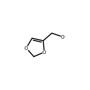 [O]CC1=COCO1